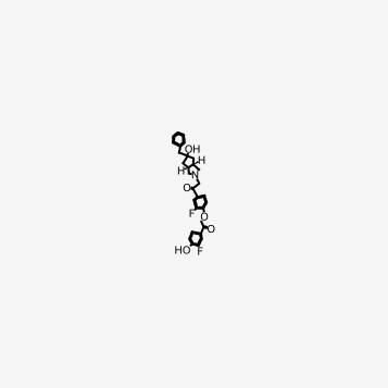 O=C(COc1ccc(C(=O)CN2C[C@@H]3CC(O)(Cc4ccccc4)C[C@@H]3C2)cc1F)c1ccc(O)c(F)c1